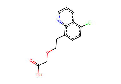 O=C(O)COCCc1ccc(Cl)c2cccnc12